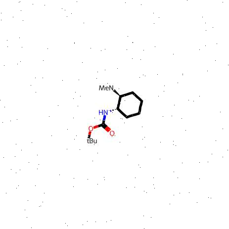 CN[C@H]1CCCC[C@@H]1NC(=O)OC(C)(C)C